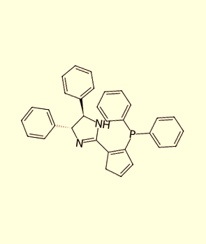 C1=CC(P(c2ccccc2)c2ccccc2)=C(C2=N[C@H](c3ccccc3)[C@@H](c3ccccc3)N2)C1